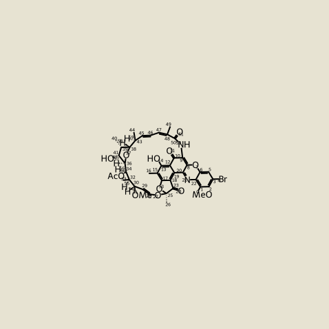 COc1cc(Br)cc2oc3c4c(=O)c5c(O)c(C)c6c(c5c-3nc12)C(=O)[C@@](C)(O/C=C/[C@H](OC)[C@@H](C)[C@@H](OC(C)=O)[C@@H]1O[C@H]([C@@H](C)[C@H]1O)[C@@H](C)/C=C/C=C(/C)C(=O)N4)O6